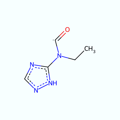 CCN([C]=O)c1ncn[nH]1